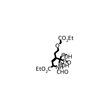 CCOC(=O)COCCC(=CC(NC=O)C(=O)OCC)C(C(C)C)(C(C)C)P(=O)(O)O